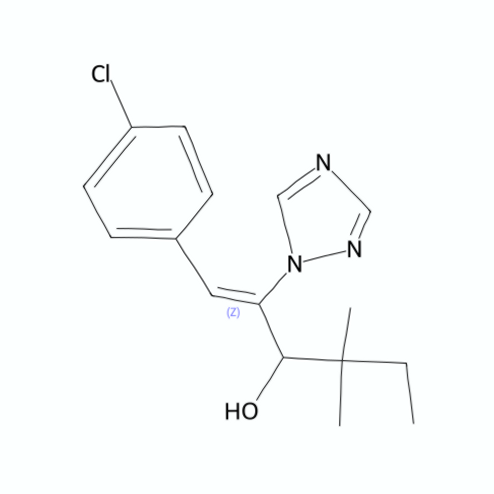 CCC(C)(C)C(O)/C(=C/c1ccc(Cl)cc1)n1cncn1